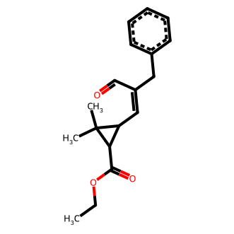 CCOC(=O)C1C(/C=C(\C=O)Cc2ccccc2)C1(C)C